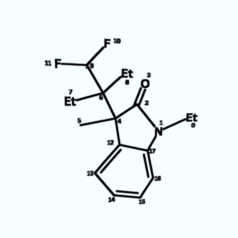 CCN1C(=O)C(C)(C(CC)(CC)[C](F)F)c2ccccc21